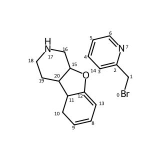 BrCc1ccccn1.C1=CCC2C(=C1)OC1CNCCC12